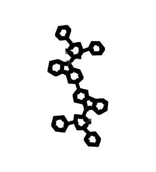 c1ccc(-c2cc(-c3ccccc3)nc(-n3c4ccccc4c4cc(-c5ccc6c(c5)c5ccccc5n6-c5nc(-c6ccccc6)cc(-c6ccccc6)n5)ccc43)c2)cc1